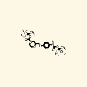 CC(C)(C)OC(=O)Nc1ccc(OCC2CN(C(=O)OC(C)(C)C)CCO2)cc1